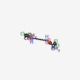 Cc1cc(Cl)cc(Cl)c1CN(C)S(=O)(=O)NCCCCCCCCCCCCNS(=O)(=O)c1ccc(C2CN(C)Cc3c(Cl)cc(Cl)cc32)cc1